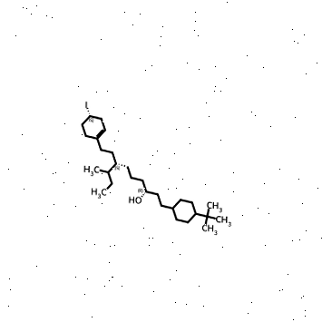 CCC(C)[C@@H](CCC[C@@H](O)CCC1CCC(C(C)(C)C)CC1)CCC1=CC[C@@H](I)CC1